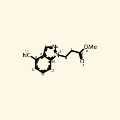 COC(=O)CCn1ncc2c(C#N)cccc21